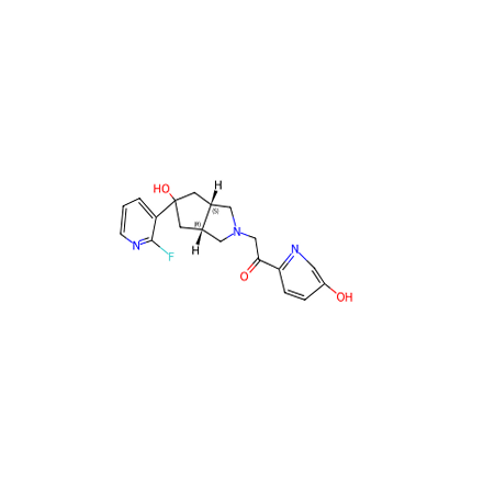 O=C(CN1C[C@@H]2CC(O)(c3cccnc3F)C[C@@H]2C1)c1ccc(O)cn1